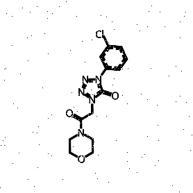 O=C(Cn1nnn(-c2cccc(Cl)c2)c1=O)N1CCOCC1